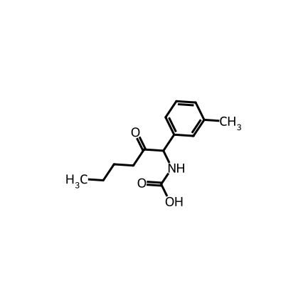 CCCCC(=O)C(NC(=O)O)c1cccc(C)c1